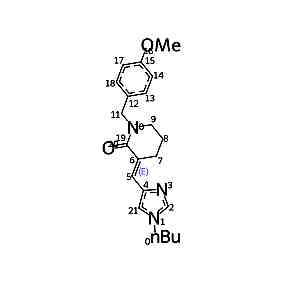 CCCCn1cnc(/C=C2\CCCN(Cc3ccc(OC)cc3)C2=O)c1